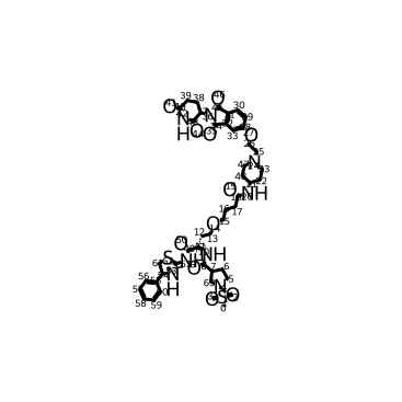 CS(=O)(=O)N1CCC(C(=O)N[C@@H](CCOCCCC(=O)NC2CCN(CCOc3ccc4c(c3)C(=O)N(C3CCC(=O)NC3=O)C4=O)CC2)C(=O)NC2NC(c3ccccc3)CS2)C1